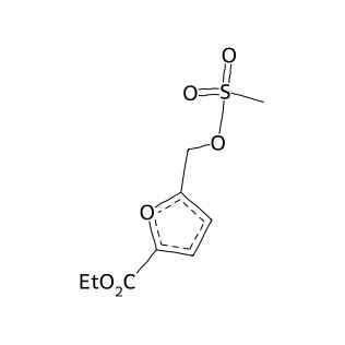 CCOC(=O)c1ccc(COS(C)(=O)=O)o1